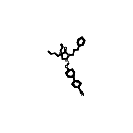 C=CC[C@]1(CCCC)C[C@@H](COc2ccc(-c3ccc(C#N)cc3)cc2)N(CCCc2ccccc2)C1=O